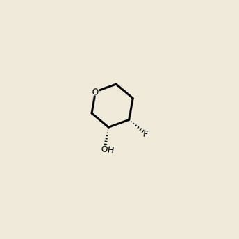 O[C@@H]1COCC[C@@H]1F